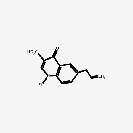 C=CCc1ccc2c(c1)c(=O)c(C(=O)O)cn2CC